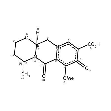 COc1c2n(cc(C(=O)O)c1=O)C[C@@H]1OCC[C@@H](C)N1C2=O